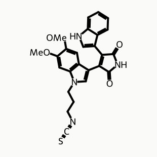 COc1cc2c(C3=C(c4c[nH]c5ccccc45)C(=O)NC3=O)cn(CCCN=C=S)c2cc1OC